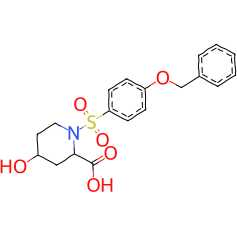 O=C(O)C1CC(O)CCN1S(=O)(=O)c1ccc(OCc2ccccc2)cc1